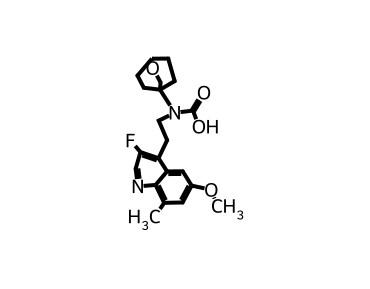 COc1cc(C)c2ncc(F)c(CCN(C(=O)O)C34CCC(CC3)OC4)c2c1